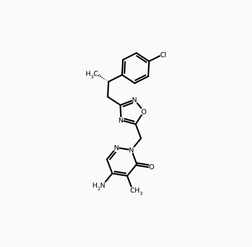 Cc1c(N)cnn(Cc2nc(C[C@H](C)c3ccc(Cl)cc3)no2)c1=O